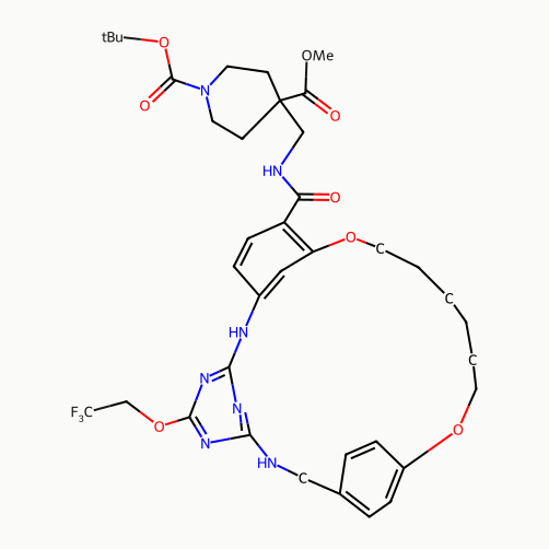 COC(=O)C1(CNC(=O)c2ccc3cc2OCCCCCCOc2ccc(cc2)CNc2nc(nc(OCC(F)(F)F)n2)N3)CCN(C(=O)OC(C)(C)C)CC1